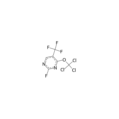 Fc1ncc(C(F)(F)F)c(OC(Cl)(Cl)Cl)n1